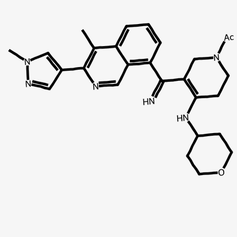 CC(=O)N1CCC(NC2CCOCC2)=C(C(=N)c2cccc3c(C)c(-c4cnn(C)c4)ncc23)C1